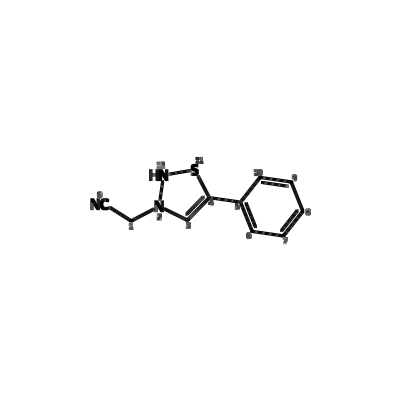 N#CCN1C=C(c2ccccc2)SN1